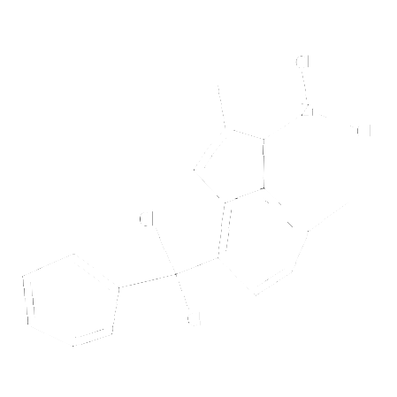 CC1=Cc2c(C(Cl)(Cl)c3ccccc3)ccc(C)c2[CH]1[Zr]([Cl])[Cl]